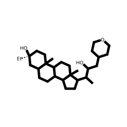 CC[C@]1(O)CCC2(C)C(CCC3C2CCC2(C)C(C(C)C(O)CC4CCOCC4)CCC32)C1